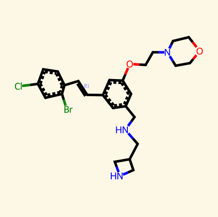 Clc1ccc(/C=C/c2cc(CNCC3CNC3)cc(OCCN3CCOCC3)c2)c(Br)c1